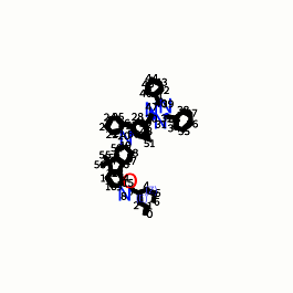 C=C/C=C(\C=C/C)c1nc2ccc3c(c2o1)-c1ccc(-n2c4ccccc4c4cc(-c5nc(-c6ccccc6)nc(-c6ccccc6)n5)c5c(c42)=C=5)cc1C3(C)C